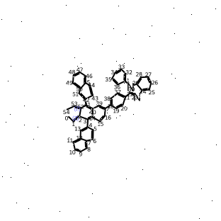 C/C=c1/c(-c2ccc3ccccc3c2)c2ccc(-c3ccc(-c4nc5ccccc5n4-c4ccccc4)cc3)cc2c(-c2ccc3ccccc3c2)/c1=C/C